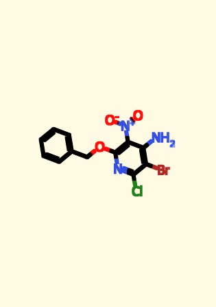 Nc1c(Br)c(Cl)nc(OCc2ccccc2)c1[N+](=O)[O-]